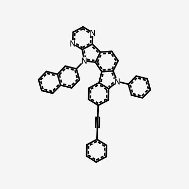 C(#Cc1ccc2c3c(ccc4c5nccnc5n(-c5ccc6ccccc6c5)c43)n(-c3ccccc3)c2c1)c1ccccc1